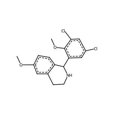 COc1ccc2c(c1)CCNC2c1cc(Cl)cc(Cl)c1OC